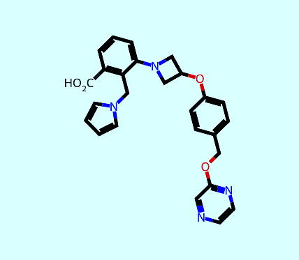 O=C(O)c1cccc(N2CC(Oc3ccc(COc4cnccn4)cc3)C2)c1Cn1cccc1